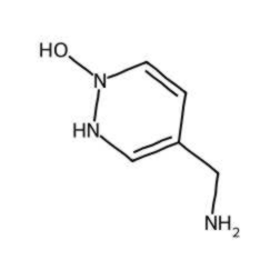 NCC1=CNN(O)C=C1